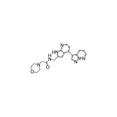 O=C(CN1CCOCC1)NCc1cc2c(-c3cnn4ncccc34)ccnc2[nH]1